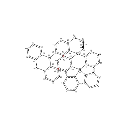 c1ccc([Si]2(c3ccccc3)c3ccccc3[Si]3(c4ccccc4Oc4ccc(N5c6ccccc6Sc6ccccc65)cc43)c3ccccc32)cc1